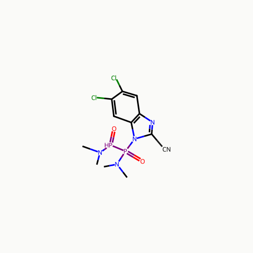 CN(C)[PH](=O)P(=O)(N(C)C)n1c(C#N)nc2cc(Cl)c(Cl)cc21